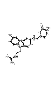 N=C(N)NCCn1c2c(c3cc(Cl)ccc31)=CC(NCc1ccc(Cl)c(Cl)c1)CC=2